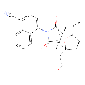 CCC12CCC(CCO)(O1)[C@@H]1C(=O)N(c3ccc(C#N)c4ccccc34)C(=O)[C@@H]12